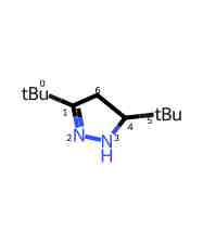 CC(C)(C)C1=NNC(C(C)(C)C)C1